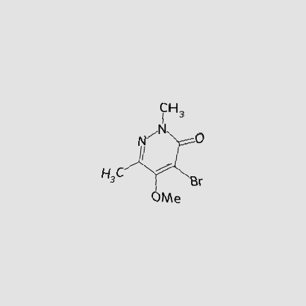 COc1c(C)nn(C)c(=O)c1Br